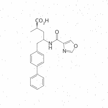 C[C@H](CC(Cc1ccc(-c2ccccc2)cc1)NC(=O)c1cocn1)C(=O)O